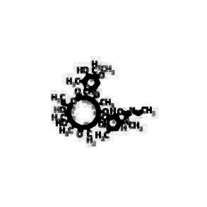 CCN=C1O[C@H]2[C@H](O[C@@H]3[C@@H](C)[C@H](O[C@H]4C[C@@](C)(OC)[C@@H](O)[C@H](C)O4)[C@@H](C)C(=O)O[C@H](CC)[C@@](C)(O)[C@H](O)[C@@H](C)C(=O)[C@H](C)C[C@@]3(C)O)O[C@H](C)C[C@@H]2N1C